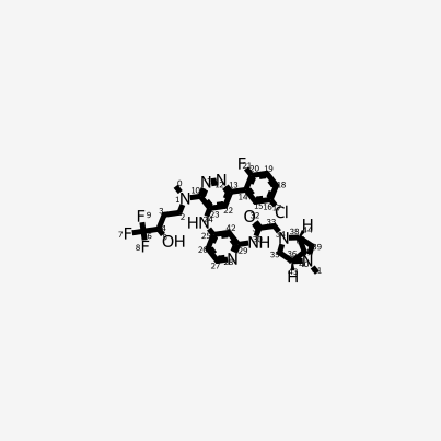 CN(CCC(O)C(F)(F)F)c1nnc(-c2cc(Cl)ccc2F)cc1Nc1ccnc(NC(=O)CN2C[C@@H]3C[C@H]2CN3C)c1